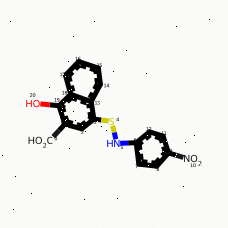 O=C(O)c1cc(SNc2ccc([N+](=O)[O-])cc2)c2ccccc2c1O